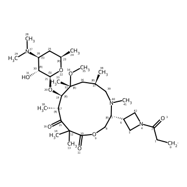 [CH2]CC(=O)N1CC([C@@H]2COC(=O)C(C)(C)C(=O)[C@H](C)[C@@H](O[C@@H]3O[C@H](C)C[C@H](N(C)C)[C@H]3O)[C@](C)(OC)C[C@@H](C)CN2C)C1